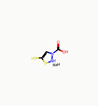 O=C(O)N1C=C(S)SN1.[NaH]